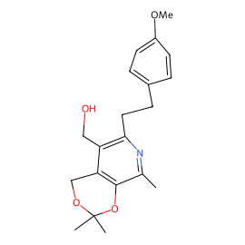 COc1ccc(CCc2nc(C)c3c(c2CO)COC(C)(C)O3)cc1